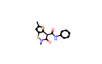 Cc1cc2c(s1)C(C(=O)Nc1ccccc1)C(=O)N(C)S2